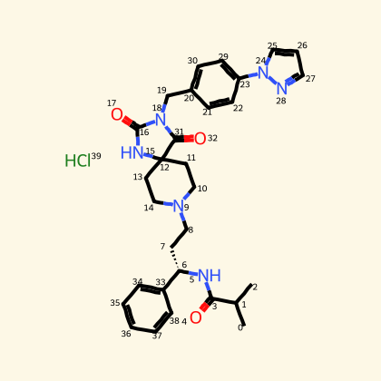 CC(C)C(=O)N[C@@H](CCN1CCC2(CC1)NC(=O)N(Cc1ccc(-n3cccn3)cc1)C2=O)c1ccccc1.Cl